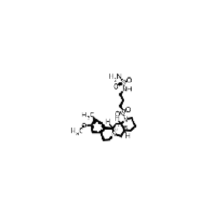 COc1cc2c(cc1C)[C@@H]1C[C@H]3[C@H](CCCN3S(=O)(=O)CCCNS(N)(=O)=O)CN1CC2